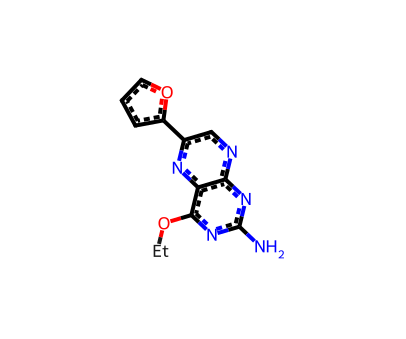 CCOc1nc(N)nc2ncc(-c3ccco3)nc12